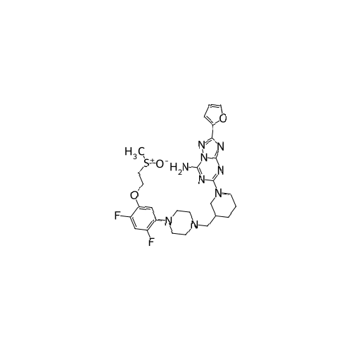 C[S+]([O-])CCOc1cc(N2CCN(CC3CCCN(c4nc(N)n5nc(-c6ccco6)nc5n4)C3)CC2)c(F)cc1F